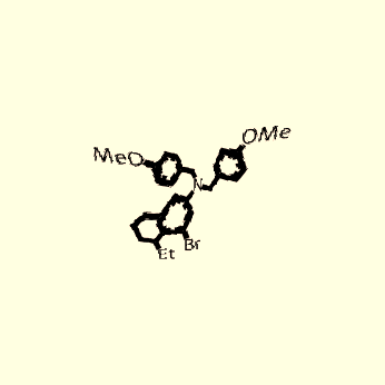 CCC1CCCc2cc(N(Cc3ccc(OC)cc3)Cc3ccc(OC)cc3)cc(Br)c21